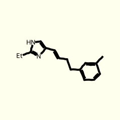 CCc1nc(C=CCCc2cccc(C)c2)c[nH]1